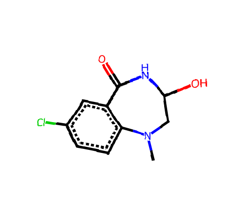 CN1CC(O)NC(=O)c2cc(Cl)ccc21